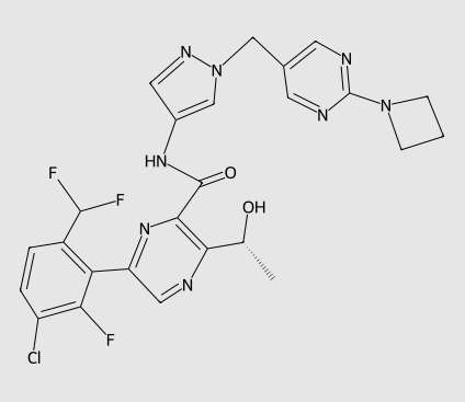 C[C@@H](O)c1ncc(-c2c(C(F)F)ccc(Cl)c2F)nc1C(=O)Nc1cnn(Cc2cnc(N3CCC3)nc2)c1